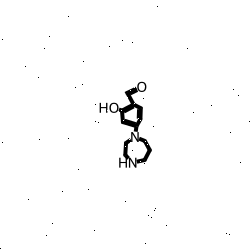 O=Cc1ccc(N2CCCNCC2)cc1O